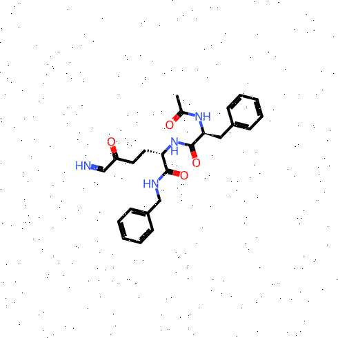 CC(=O)N[C@@H](Cc1ccccc1)C(=O)N[C@@H](CCC(=O)C=N)C(=O)NCc1ccccc1